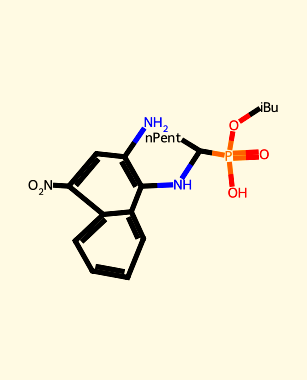 CCCCCC(Nc1c(N)cc([N+](=O)[O-])c2ccccc12)P(=O)(O)OC(C)CC